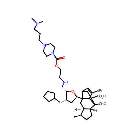 CC(C)C1=CC2CC3(C=O)[C@@H]4CC[C@@H](C)[C@H]4CC2([C@H]2C[C@H](CC4CCCC4)[C@H](CNCCOC(=O)N4CCN(CCCN(C)C)CC4)O2)[C@]13C(=O)O